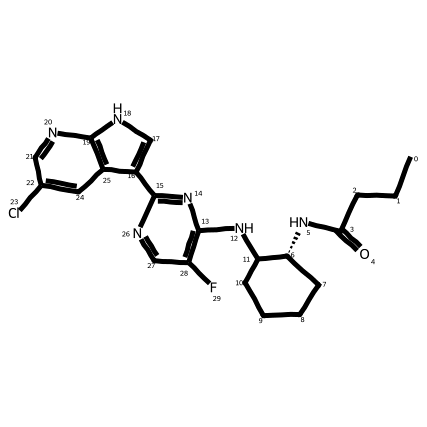 CCCC(=O)N[C@@H]1CCCCC1Nc1nc(-c2c[nH]c3ncc(Cl)cc23)ncc1F